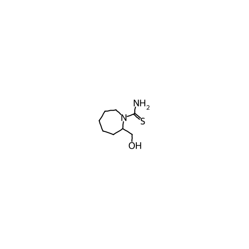 NC(=S)N1CCCCCC1CO